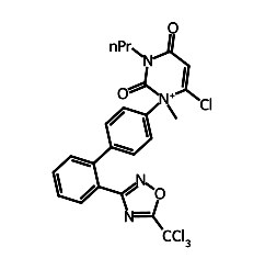 CCCN1C(=O)C=C(Cl)[N+](C)(c2ccc(-c3ccccc3-c3noc(C(Cl)(Cl)Cl)n3)cc2)C1=O